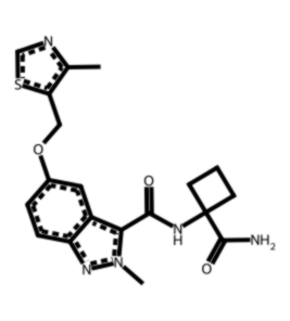 Cc1ncsc1COc1ccc2nn(C)c(C(=O)NC3(C(N)=O)CCC3)c2c1